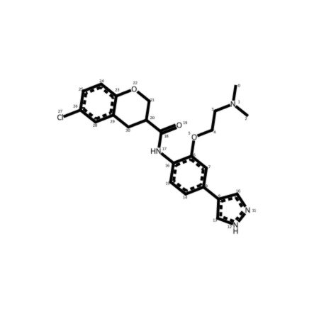 CN(C)CCOc1cc(-c2cn[nH]c2)ccc1NC(=O)C1COc2ccc(Cl)cc2C1